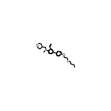 C=Cc1cc(-c2ccc(OCCOCCCC)cc2)ccc1N(C)CC1CCOCC1